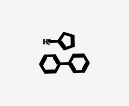 [Hf][C]1=CC=CC1.c1ccc(-c2ccccc2)cc1